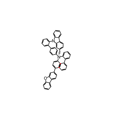 Fc1ccc2c3ccccc3n(-c3ccccc3-c3ccc(N(c4ccc(-c5ccc6c(c5)oc5ccccc56)cc4)c4ccccc4-c4ccccc4)cc3)c2c1